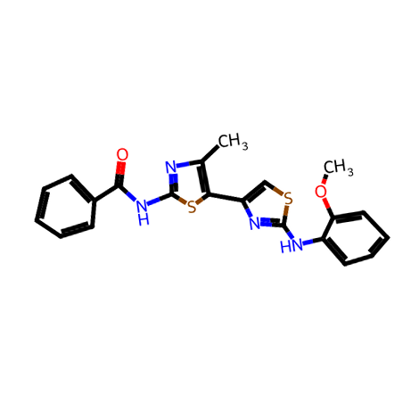 COc1ccccc1Nc1nc(-c2sc(NC(=O)c3ccccc3)nc2C)cs1